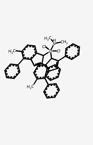 Cc1ccc2c(c1-c1ccccc1)C=C(c1ccccc1)[CH]2[Zr]([Cl])([Cl])([CH]1C(c2ccccc2)=Cc2c1ccc(C)c2-c1ccccc1)[SiH](C)C